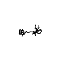 CCN(CC)[Si](CCCCCC[Si](C)(C)OC)(c1ccccc1)N(CC)CC